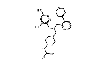 Cc1cnc(CN(Cc2ncccc2C2=CC=CCC2)CC2CCC(NC(=N)N)CC2)c(C)c1